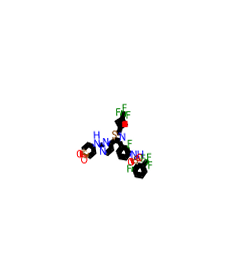 O=S1(=O)CCC(Nc2nccc(-c3sc(C45CC(C(F)(F)F)(C4)C5)nc3-c3cccc(NS(=O)(=O)c4c(F)cccc4C(F)(F)F)c3F)n2)CC1